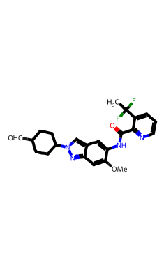 COc1cc2nn(C3CCC(C=O)CC3)cc2cc1NC(=O)c1ncccc1C(C)(F)F